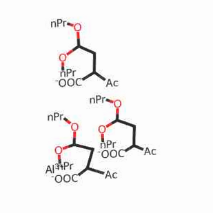 CCCOC(CC(C(C)=O)C(=O)[O-])OCCC.CCCOC(CC(C(C)=O)C(=O)[O-])OCCC.CCCOC(CC(C(C)=O)C(=O)[O-])OCCC.[Al+3]